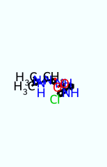 Cc1cc(C)nc(NCCN(C)c2ccc(NC(=O)C(=O)c3c(-c4ccccc4)[nH]c4cc(Cl)ccc34)cc2)c1